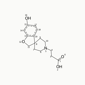 O=C(O)CCN1CCC2(CC1)COc1cc(O)ccc12